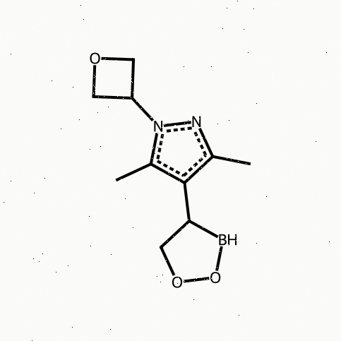 Cc1nn(C2COC2)c(C)c1C1BOOC1